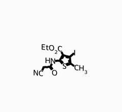 CCOC(=O)c1c(NC(=O)CC#N)sc(C)c1I